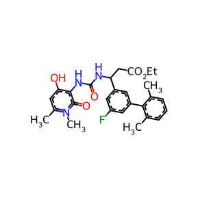 CCOC(=O)CC(NC(=O)Nc1c(O)cc(C)n(C)c1=O)c1cc(F)cc(-c2c(C)cccc2C)c1